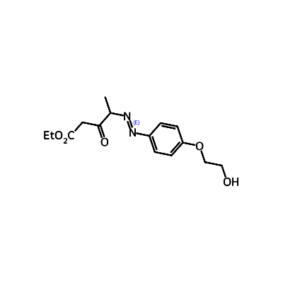 CCOC(=O)CC(=O)C(C)/N=N/c1ccc(OCCO)cc1